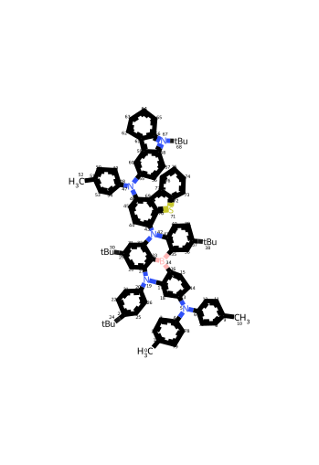 Cc1ccc(N(c2ccc(C)cc2)c2ccc3c(c2)N(c2ccc(C(C)(C)C)cc2)c2cc(C(C)(C)C)cc4c2B3c2cc(C(C)(C)C)ccc2N4c2ccc(N(c3ccc(C)cc3)c3ccc4c(c3)c3ccccc3n4C(C)(C)C)c3c2sc2ccccc23)cc1